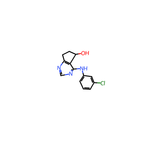 OC1CCc2ncnc(Nc3cccc(Cl)c3)c21